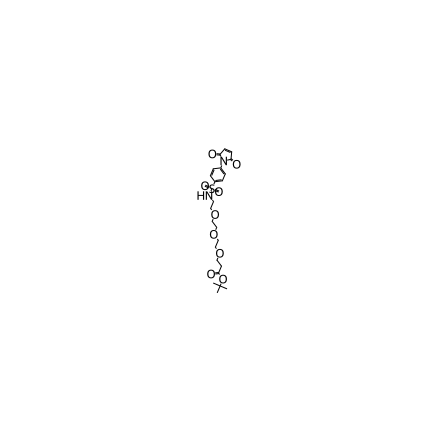 CC(C)(C)OC(=O)CCOCCOCCOCCNS(=O)(=O)c1ccc(N2C(=O)C=CC2=O)cc1